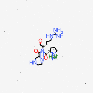 Cl.Cl.N=C(N)NCCC[C@@H](C=O)N(C(=O)C1CNCCN1)C(=O)[C@@H]1CCCN1